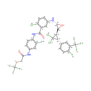 O=C(CSC(F)(F)F)Nc1ccc(NC(=O)c2cc(N[C@@H]3OC3[C@H]3[C@H](c4ccc(F)c(C(F)(F)F)c4)C3(Cl)Cl)ccc2Cl)c(F)c1